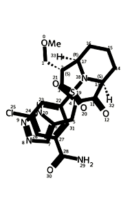 COC[C@H]1CN(Cc2cnn[nH]2)C(=O)[C@@H]2CCC[C@H]1N2S(=O)(=O)c1cc(Cl)cc(C(N)=O)c1